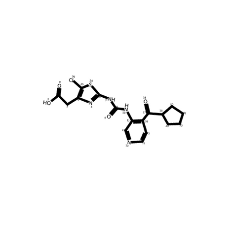 O=C(O)Cc1nc(NC(=O)Nc2cnccc2C(=O)C2CCCC2)sc1Cl